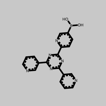 OB(O)c1ccc(-c2nc(-c3cccnc3)nc(-c3cccnc3)n2)nc1